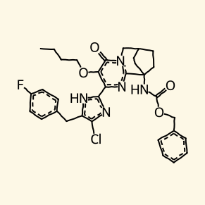 CCCCOc1c(-c2nc(Cl)c(Cc3ccc(F)cc3)[nH]2)nc2n(c1=O)CC1CCC2(NC(=O)OCc2ccccc2)CC1